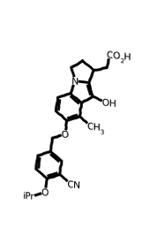 Cc1c(OCc2ccc(OC(C)C)c(C#N)c2)ccc2c1c(O)c1n2CCC1CC(=O)O